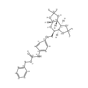 CC1(C)O[C@H]2[C@@H](O1)[C@@H](COc1ccc(NC(=O)OCc3ccccc3)cc1)O[C@@H]1OC(C)(C)O[C@@H]12